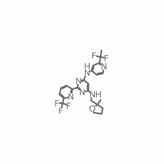 CC1(CNc2cc(Nc3ccnc(C(C)(F)F)c3)nc(-c3cccc(C(F)(F)F)n3)n2)CCCO1